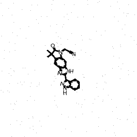 CC1(C)C(=O)N(CC#N)c2cc3[nH]c(-c4n[nH]c5ccccc45)nc3cc21